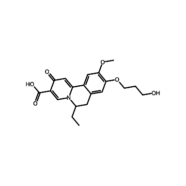 CCC1Cc2cc(OCCCO)c(OC)cc2-c2cc(=O)c(C(=O)O)cn21